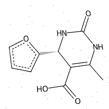 CC1=C(C(=O)O)[C@H](c2ccco2)NC(=O)N1